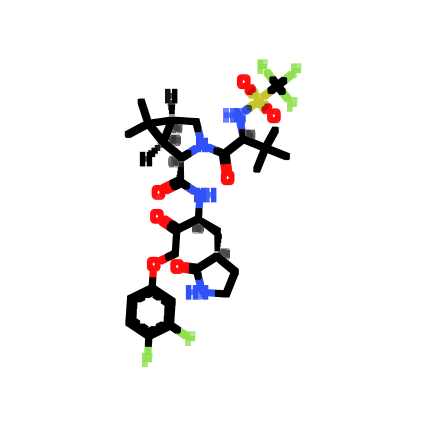 CC(C)(C)[C@H](NS(=O)(=O)C(F)(F)F)C(=O)N1C[C@H]2[C@@H]([C@H]1C(=O)N[C@@H](C[C@@H]1CCNC1=O)C(=O)COc1ccc(F)c(F)c1)C2(C)C